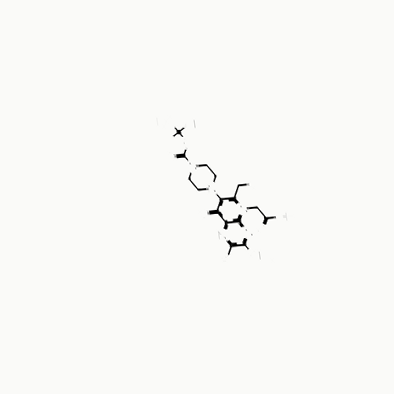 CCc1c(N2CCN(C(=O)OC(C)(C)C)CC2)c(=O)c2nc(Br)c(C)nc2n1CC(=O)O